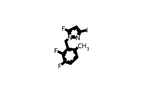 Cc1ccc(F)c(F)c1Cn1nc(I)cc1F